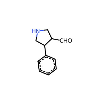 O=CC1CNCC1c1ccccc1